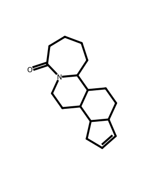 O=C1CCCCC2C3CCC4C=CCC4C3CCN12